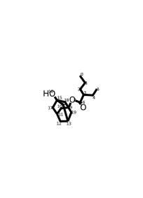 CCCC(CC)C(=O)OC12CC3CC(CC(O)(C3)C1)C2